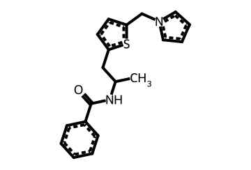 CC(Cc1ccc(Cn2cccc2)s1)NC(=O)c1ccccc1